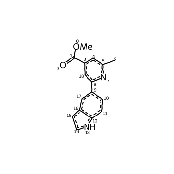 COC(=O)c1cc(C)nc(-c2ccc3[nH]ccc3c2)c1